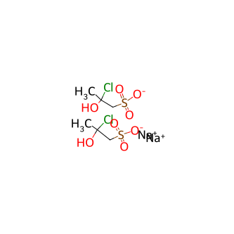 CC(O)(Cl)CS(=O)(=O)[O-].CC(O)(Cl)CS(=O)(=O)[O-].[Na+].[Na+]